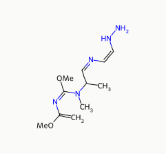 C=C(/N=C(/OC)N(C)C(C)/C=N\C=C/NN)OC